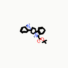 CN(C)C1(c2ccccc2)CCC(c2ccccc2)(N(C)CC(=O)OC(C)(C)C)CC1